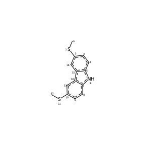 CSc1ccc2[nH]c3ccc(SC)cc3c2c1